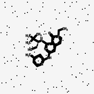 CCn1ccc2cc(Nc3cc(C)ccn3)nc(N[C@H](CO)C(C)(C)C)c2c1=O